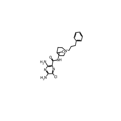 Nc1nc(N)c(C(=O)NC2C[N+]3(CCCc4ccccc4)CCC2CC3)nc1Cl